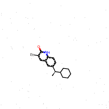 CCc1cc2cc([C@H](C)C3CCCCC3)ccc2[nH]c1=O